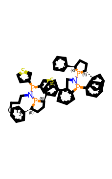 CCCCN(P(c1ccsc1)c1csc(-c2cccc3c2CN(P2[C@@H](c4ccccc4)CC[C@@H]2c2ccccc2)P3c2ccccc2)c1)P1[C@@H](c2ccccc2)CC[C@@H]1c1ccccc1